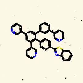 c1cncc(-c2cccc(-c3cc(-c4cccnc4)cc(-c4cccnc4)c3-c3ccc(-c4nc5ccccc5s4)cc3)c2)c1